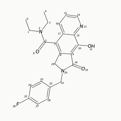 CCN(CC)C(=O)c1c2c(c(O)c3ncccc13)C(=O)N(Cc1ccc(F)cc1)C2